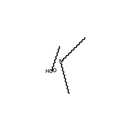 CCCCCCCCCCCCCC(=O)O.CCCCCCCCCCCCCCCCCCN(C)CCCCCCCCCCCCCCCCCC